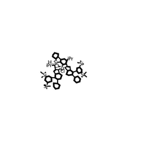 CC(C)CC1=Cc2c(ccc(-c3ccccc3)c2-c2cc([Si](C)(C)C)cc([Si](C)(C)C)c2)[CH]1[Zr]([Cl])([Cl])([c]1cccc2c1[SiH2]c1ccccc1-2)[CH]1C(CC(C)C)=Cc2c1ccc(-c1ccccc1)c2-c1cc([Si](C)(C)C)cc([Si](C)(C)C)c1